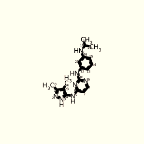 Cc1n[nH]c(Nc2ccnc(Nc3cccc(NC(C)C)c3)n2)c1C